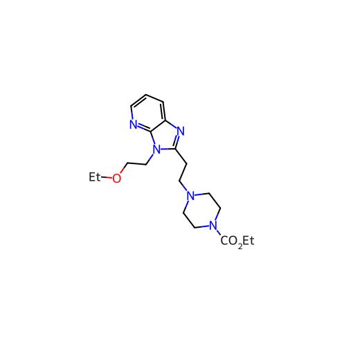 CCOCCn1c(CCN2CCN(C(=O)OCC)CC2)nc2cccnc21